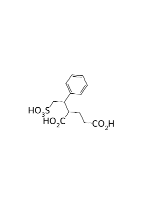 O=C(O)CCC(C(=O)O)C(CS(=O)(=O)O)c1ccccc1